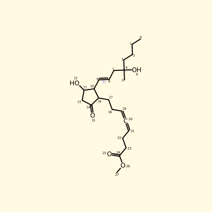 CCCCC(C)(O)C/C=C/C1C(O)CC(=O)C1CCC=C=CCCC(=O)OC